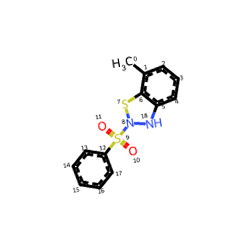 Cc1cccc2c1SN(S(=O)(=O)c1ccccc1)N2